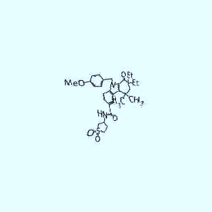 CCC1(CC)CC(C)(C)c2c(n(Cc3ccc(OC)cc3)c3ccc(C(=O)NC4CCS(=O)(=O)C4)cc23)C1=O